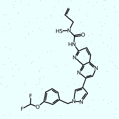 C=CCN(S)C(=O)Nc1ccc2ncc(-c3cnn(Cc4cccc(OC(F)F)c4)c3)nc2n1